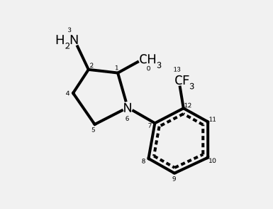 CC1C(N)CCN1c1ccccc1C(F)(F)F